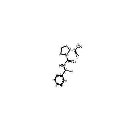 C[C@H](NC(=O)N1CCC[C@@H]1C(=O)O)c1ccccc1